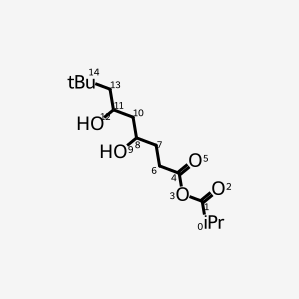 CC(C)C(=O)OC(=O)CCC(O)CC(O)CC(C)(C)C